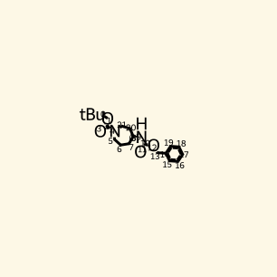 CC(C)(C)OC(=O)N1CCC[C@H](NC(=O)OCc2ccccc2)CC1